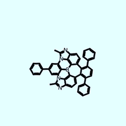 Cc1nc2ccc3c4c2n1-c1cc(-c2ccccc2)cc2c1B4c1c(ccc4nc(C)n-2c14)-c1c(-c2ccccc2)ccc(-c2ccccc2)c1-3